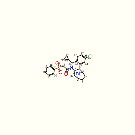 CN1C2CCC1CC(N(C(=O)CS(=O)(=O)c1ccccc1)C(c1ccc(Cl)cc1)C1CC1)C2